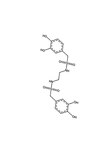 O=S(=O)(Cc1ccc(O)c(O)c1)NCCNS(=O)(=O)Cc1ccc(O)c(O)c1